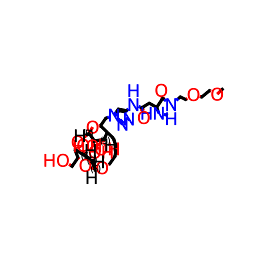 CNC(CC(=O)Nc1cn(CC2O[C@@H]3OC4C(CO)O[C@H](OCCCCC2[C@H](O)C3O)[C@@H](O)[C@@H]4O)nn1)C(=O)NCCOCCOC